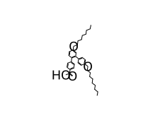 CCCCCCCCCOc1ccc(-c2cc(OCCCCCCCC)ccc2-c2ccc(C(=O)O)cc2)cc1